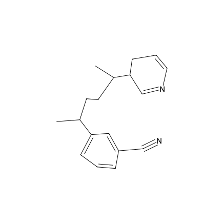 CC(CCC(C)C1C=NC=CC1)c1cccc(C#N)c1